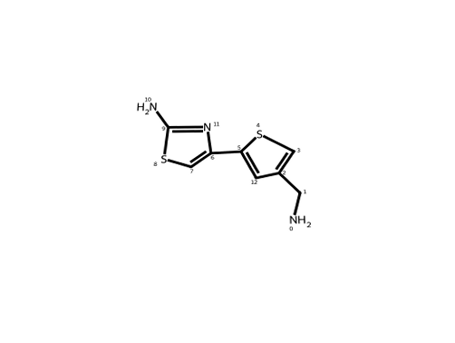 NCc1csc(-c2csc(N)n2)c1